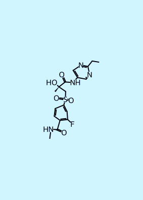 CCc1ncc(NC(=O)[C@@](C)(O)CS(=O)(=O)c2ccc(C(=O)NC)c(F)c2)cn1